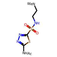 CNCCNS(=O)(=O)c1nnc(NC(C)=O)s1